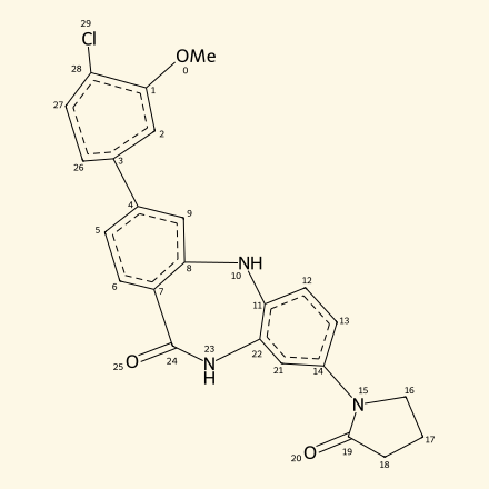 COc1cc(-c2ccc3c(c2)Nc2ccc(N4CCCC4=O)cc2NC3=O)ccc1Cl